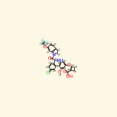 COc1cc(NC(C(=O)N2CCc3ccc(OC(F)(F)F)cc32)c2ccc(Cl)cc2)cc(OC2=C(C(=O)O)CC2)c1